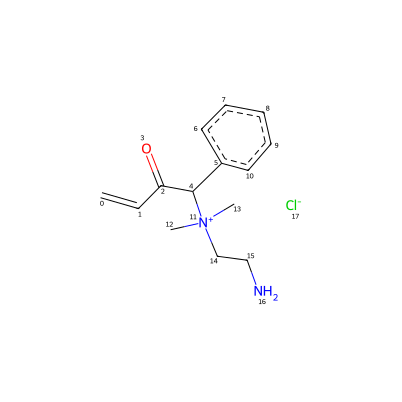 C=CC(=O)C(c1ccccc1)[N+](C)(C)CCN.[Cl-]